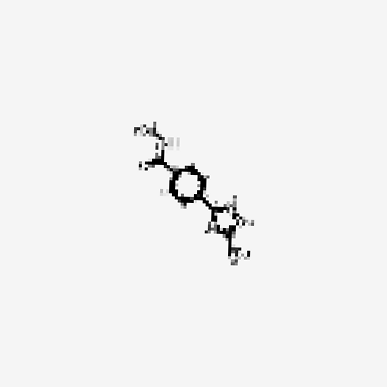 CCCCNC(=O)c1ccc(-c2noc(CCCC)n2)cc1